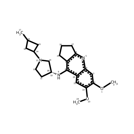 COc1cc2nc3c(c(N[C@@H]4CCN(C5CC(C)C5)C4)c2cc1OC)CCC3